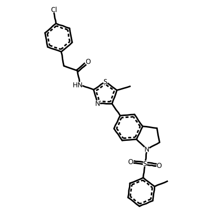 Cc1ccccc1S(=O)(=O)N1CCc2cc(-c3nc(NC(=O)Cc4ccc(Cl)cc4)sc3C)ccc21